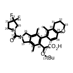 Cc1c(-c2c(C)c3c(c(C)c2C(OC(C)(C)C)C(=O)O)CN(C(=O)N2CCC(F)(F)C2)C3)ccc2c1CCCO2